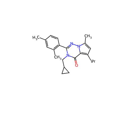 Cc1ccc(-c2nn3c(C)cc(C(C)C)c3c(=O)n2CC2CC2)c(C)c1